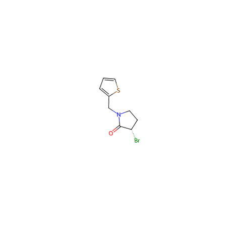 O=C1[C@@H](Br)CCN1Cc1cccs1